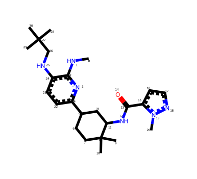 CNc1nc(C2CCC(C)(C)C(NC(=O)c3ccnn3C)C2)ccc1NCC(C)(C)C